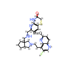 COc1ccc2ncc(F)c(CCN3CC4CCCC4(CNCc4ccc5c(n4)NC(=O)CS5)C3)c2n1